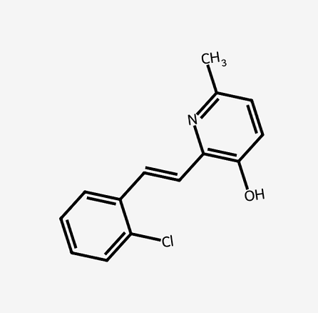 Cc1ccc(O)c(C=Cc2ccccc2Cl)n1